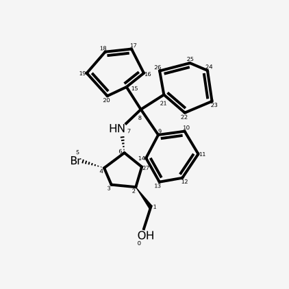 OC[C@H]1C[C@H](Br)[C@H](NC(c2ccccc2)(c2ccccc2)c2ccccc2)C1